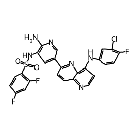 Nc1ncc(-c2ccc3nccc(Nc4ccc(F)c(Cl)c4)c3n2)cc1NS(=O)(=O)c1ccc(F)cc1F